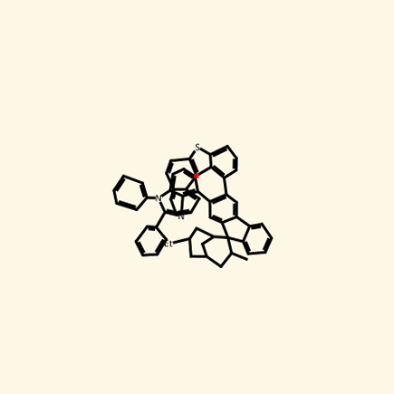 CCC1CC2CC(C)C3(c4ccccc4-c4cc(-c5cccc6sc7ccc8ccccc8c7c56)c(-c5cccc6c5nc(-c5ccccc5)n6-c5ccccc5)cc43)C(C1)C2